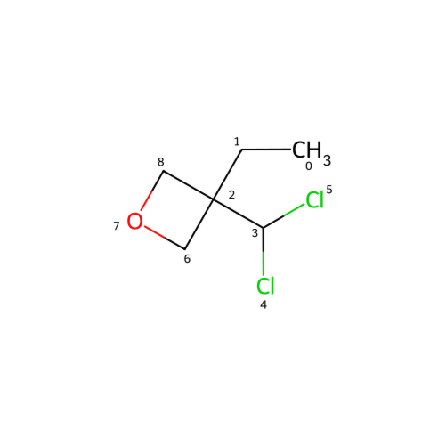 CCC1(C(Cl)Cl)COC1